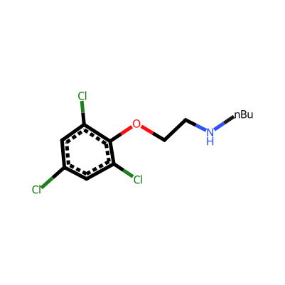 CCCCNCCOc1c(Cl)cc(Cl)cc1Cl